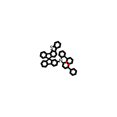 c1ccc(-c2ccc(N(c3ccc4c(c3)C3(c5ccccc5-4)c4ccccc4-c4c3ccc3c4sc4ccccc43)c3ccccc3-c3ccccc3)cc2)cc1